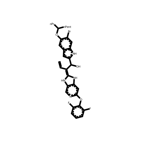 C=C/C(=C1\Nc2cnc(Oc3c(F)cccc3F)cc2N1)C(O)c1cc2cc(OC(CCC)CCCCC)c(Br)cc2[nH]1